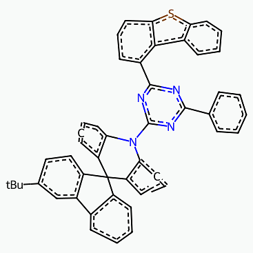 CC(C)(C)c1ccc2c(c1)-c1ccccc1C21c2ccccc2N(c2nc(-c3ccccc3)nc(-c3cccc4sc5ccccc5c34)n2)c2ccccc21